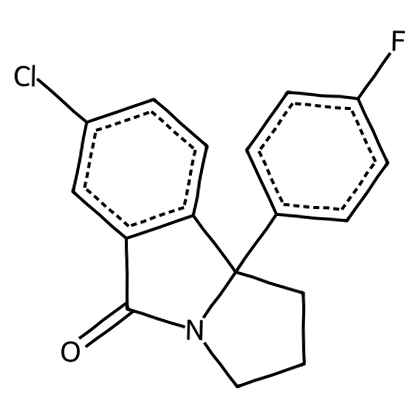 O=C1c2cc(Cl)ccc2C2(c3ccc(F)cc3)CCCN12